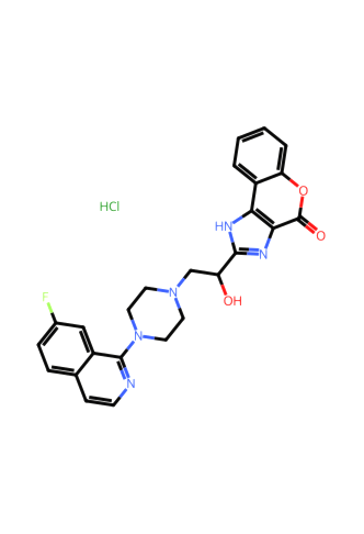 Cl.O=c1oc2ccccc2c2[nH]c(C(O)CN3CCN(c4nccc5ccc(F)cc45)CC3)nc12